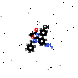 C#CC(=O)N(c1cccc(C#N)c1)C(C(=O)NCc1ccccc1)c1ccc(N)cc1